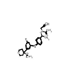 C#CCN(OC(C)c1ccc(Sc2cc(F)cc(C3(OC)CCOCC3)c2)cc1)C(C)=O